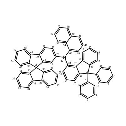 c1ccc(C2(c3ccccc3)c3ccccc3-c3c(N(c4ccc5c(c4)C4(c6ccccc6-c6ccccc64)c4ccccc4-5)c4cccc5ccccc45)cccc32)cc1